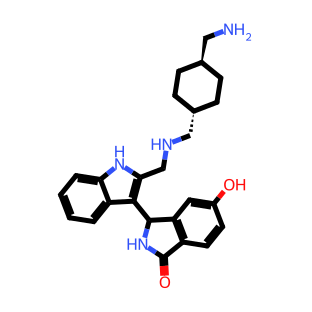 NC[C@H]1CC[C@H](CNCc2[nH]c3ccccc3c2C2NC(=O)c3ccc(O)cc32)CC1